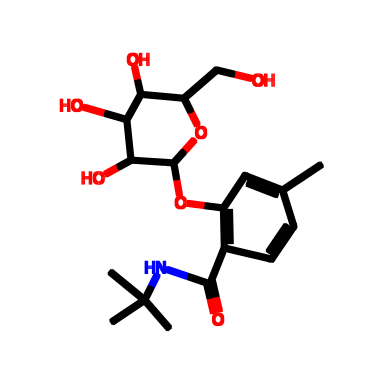 Cc1ccc(C(=O)NC(C)(C)C)c(OC2OC(CO)C(O)C(O)C2O)c1